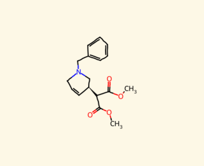 COC(=O)C(C(=O)OC)[C@H]1C=CCN(Cc2ccccc2)C1